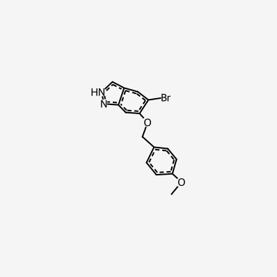 COc1ccc(COc2cc3n[nH]cc3cc2Br)cc1